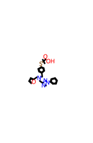 CC(C)(Sc1ccc(CN(Cc2ncn(-c3ccccc3)n2)Cc2ccco2)cc1)C(=O)O